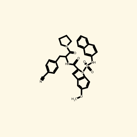 COc1ccc2c(c1)cc(C(=O)NC(Cc1ccc(C#N)cc1)C(=O)N1CCCC1)n2S(=O)(=O)Nc1ccc2ccccc2c1